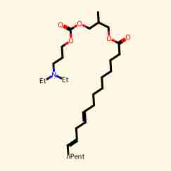 CCCCCC=CCC=CCCCCCCCC(=O)OCC(C)COC(=O)OCCCN(CC)CC